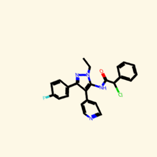 CCn1nc(-c2ccc(F)cc2)c(-c2ccncc2)c1NC(=O)C(Cl)c1ccccc1